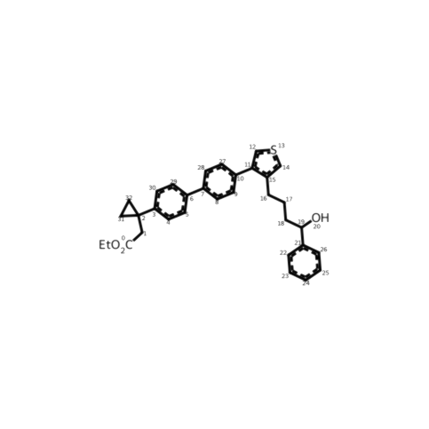 CCOC(=O)CC1(c2ccc(-c3ccc(-c4cscc4CCCC(O)c4ccccc4)cc3)cc2)CC1